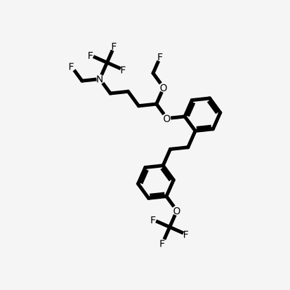 FCOC(CCCN(CF)C(F)(F)F)Oc1ccccc1CCc1cccc(OC(F)(F)F)c1